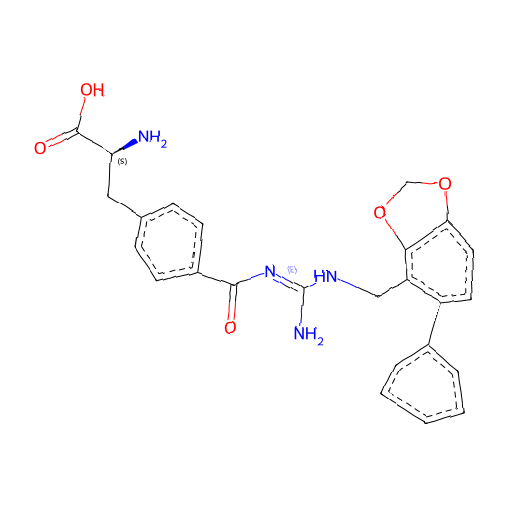 N/C(=N\C(=O)c1ccc(C[C@H](N)C(=O)O)cc1)NCc1c(-c2ccccc2)ccc2c1OCO2